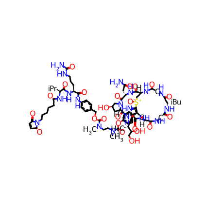 CC[C@H](C)[C@@H]1NC(=O)CNC(=O)[C@H]2Cc3c([nH]c4cc(OC(=O)N(C)CCN(C)C(=O)OCc5ccc(NC(=O)[C@H](CCCNC(N)=O)NC(=O)[C@@H](NC(=O)CCCCCN6C(=O)C=CC6=O)C(C)C)cc5)ccc34)[S+]([O-])C[C@H](NC(=O)CNC1=O)C(=O)N[C@@H](CC(N)=O)C(=O)N1C[C@H](O)C[C@H]1C(=O)N[C@@H]([C@@H](C)[C@@H](O)CO)C(=O)N2